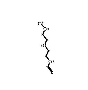 C=COCCOCCOCl